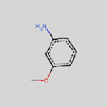 COc1[c]c(N)ccc1